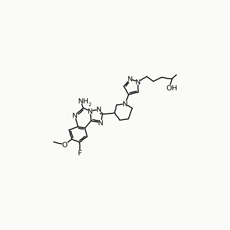 COc1cc2nc(N)n3nc(C4CCCN(c5cnn(CCCC(C)O)c5)C4)nc3c2cc1F